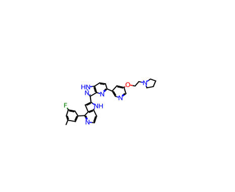 Cc1cc(F)cc(-c2nccc3[nH]c(-c4n[nH]c5ccc(-c6cncc(OCCN7CCCC7)c6)nc45)cc23)c1